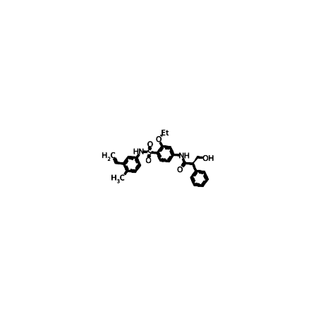 C=Cc1cc(NS(=O)(=O)c2ccc(NC(=O)[C@@H](CO)c3ccccc3)cc2OCC)ccc1C